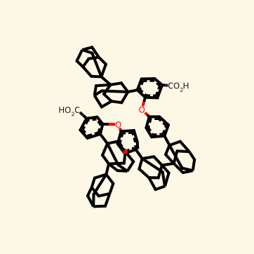 O=C(O)c1ccc(C23CC4CC(C2)CC(C25CC6CC(CC(C6)C2)C5)(C4)C3)c(Oc2ccc(C34CC5CC(C3)CC(C36CC7CC(CC(c8ccc(Oc9cc(C(=O)O)ccc9C9%10CC%11CC(C9)CC(C9%12CC%13CC(CC(C%13)C9)C%12)(C%11)C%10)cc8)(C7)C3)C6)(C5)C4)cc2)c1